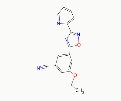 CCOc1cc(C#N)cc(-c2nc(-c3ccccn3)no2)c1